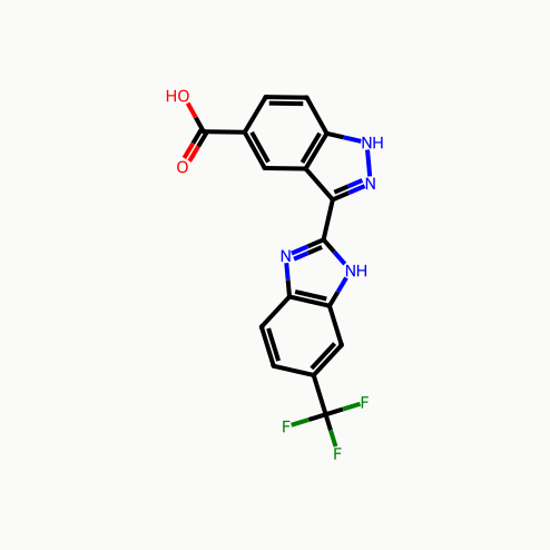 O=C(O)c1ccc2[nH]nc(-c3nc4ccc(C(F)(F)F)cc4[nH]3)c2c1